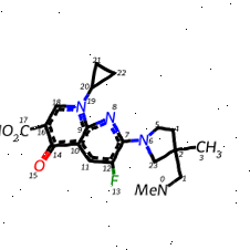 CNCC1(C)CCN(c2nc3c(cc2F)c(=O)c(C(=O)O)cn3C2CC2)C1